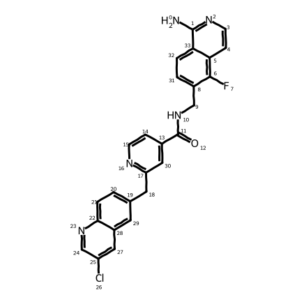 Nc1nccc2c(F)c(CNC(=O)c3ccnc(Cc4ccc5ncc(Cl)cc5c4)c3)ccc12